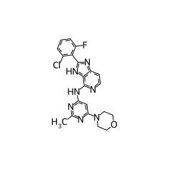 Cc1nc(Nc2nccc3nc(-c4c(F)cccc4Cl)[nH]c23)cc(N2CCOCC2)n1